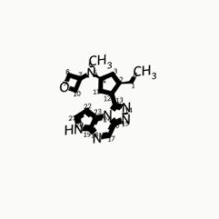 CC[C@@H]1C[C@H](N(C)C2COC2)CC1c1nnc2cnc3[nH]ccc3n12